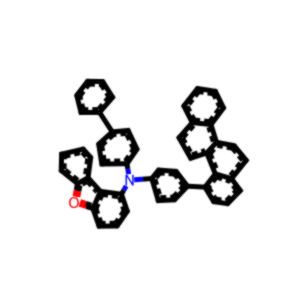 c1ccc(-c2ccc(N(c3ccc(-c4cccc5ccc6c7ccccc7ccc6c45)cc3)c3cccc4oc5ccccc5c34)cc2)cc1